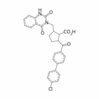 O=C(c1ccc(-c2ccc(Cl)cc2)cc1)C1CCC(Cn2c(=O)[nH]c3ccccc3c2=O)C1C(=O)O